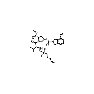 C=CCCCC(F)(F)CN[C@H](C(=O)N1C[C@H](OC(=O)N2Cc3cccc(C=C)c3C2)C[C@H]1C(=O)OC)C(C)C